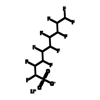 O=S(=O)([O-])C(F)C(F)C(F)C(F)C(F)C(F)C(F)C(F)C(F)F.[Li+]